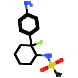 CC(C)S(=O)(=O)NC1CCCCC1(F)c1ccc(N)cc1